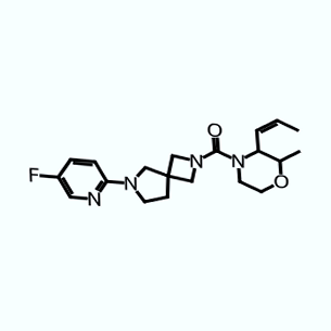 C/C=C\C1C(C)OCCN1C(=O)N1CC2(CCN(c3ccc(F)cn3)C2)C1